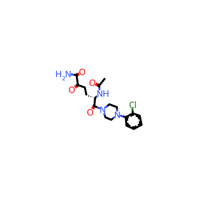 CC(=O)N[C@@H](CCC(=O)C(N)=O)C(=O)N1CCN(c2ccccc2Cl)CC1